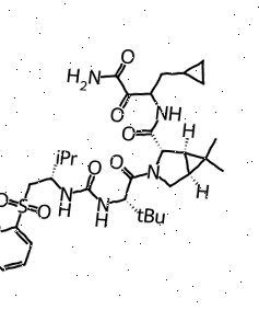 CC(C)[C@@H](CS(=O)(=O)c1ccccn1)NC(=O)N[C@H](C(=O)N1C[C@H]2[C@@H]([C@H]1C(=O)NC(CC1CC1)C(=O)C(N)=O)C2(C)C)C(C)(C)C